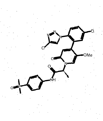 COc1cn([C@@H](C)C(=O)Nc2ccc(P(C)(C)=O)cc2)c(=O)cc1-c1cc(Cl)ccc1-n1cc(Cl)nn1